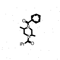 CC(C)C(=O)N1CC(C)N(C(=O)c2ccccc2)CC1C